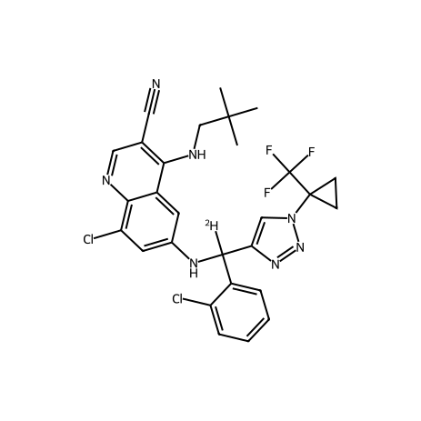 [2H]C(Nc1cc(Cl)c2ncc(C#N)c(NCC(C)(C)C)c2c1)(c1cn(C2(C(F)(F)F)CC2)nn1)c1ccccc1Cl